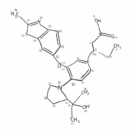 CC[C@@H](CC(=O)O)c1ccc(N2CCCC2C(C)(C)O)c(Nc2ccc3nc(C)sc3c2)c1